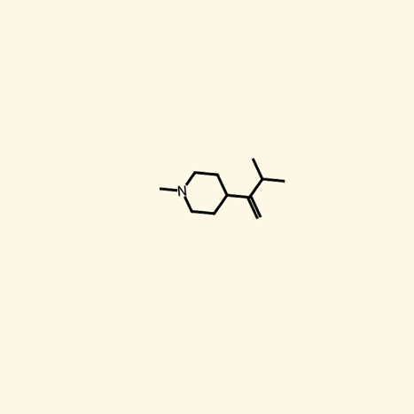 C=C(C(C)C)C1CCN(C)CC1